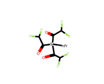 CCC[Si](C(=O)C(F)F)(C(=O)C(F)F)C(=O)C(F)F